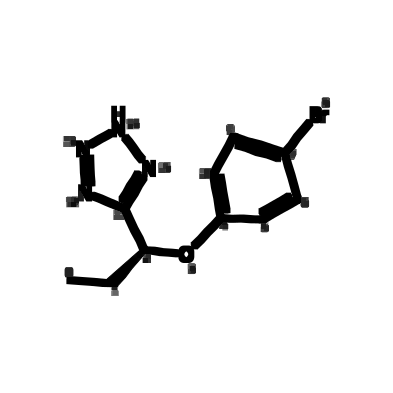 CC[C@H](Oc1ccc(Br)cc1)c1nn[nH]n1